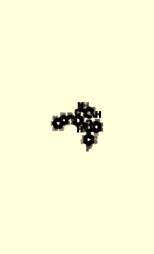 NC(=O)C1CCNCC1.O=C(NC(c1ccc(F)cc1)c1ccccn1)C1CCN(CC2Cc3ccccc3C2)CC1